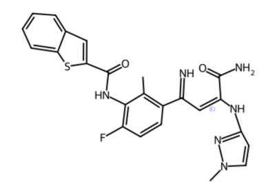 Cc1c(C(=N)/C=C(/Nc2ccn(C)n2)C(N)=O)ccc(F)c1NC(=O)c1cc2ccccc2s1